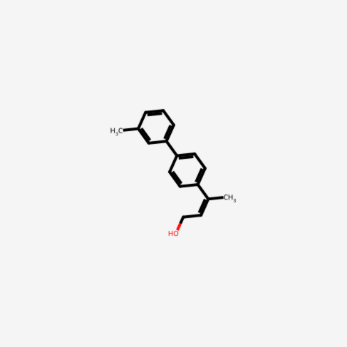 C/C(=C/CO)c1ccc(-c2cccc(C)c2)cc1